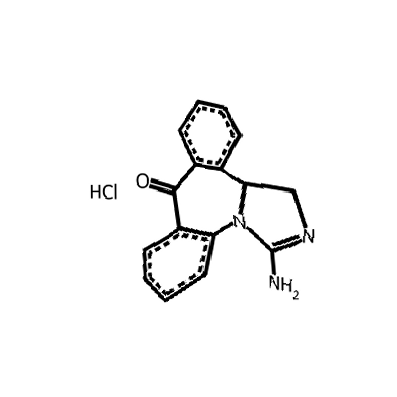 Cl.NC1=NCC2c3ccccc3C(=O)c3ccccc3N12